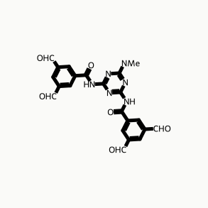 CNc1nc(NC(=O)c2cc(C=O)cc(C=O)c2)nc(NC(=O)c2cc(C=O)cc(C=O)c2)n1